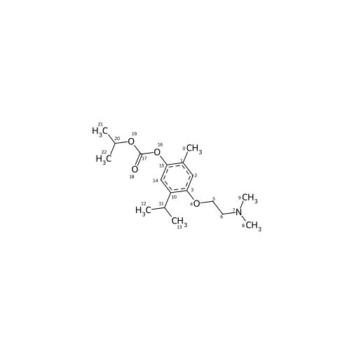 Cc1cc(OCCN(C)C)c(C(C)C)cc1OC(=O)OC(C)C